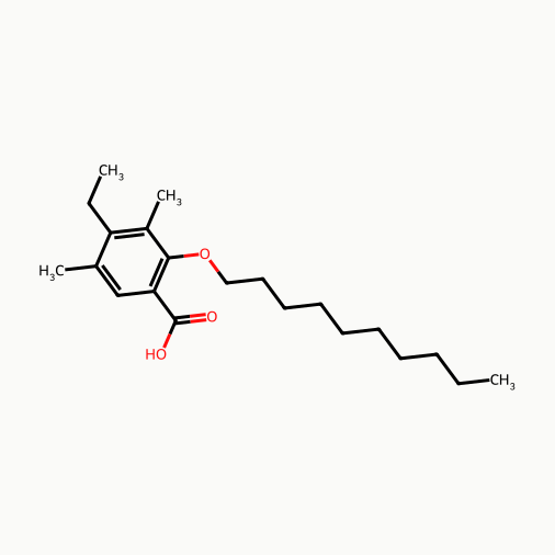 CCCCCCCCCCOc1c(C(=O)O)cc(C)c(CC)c1C